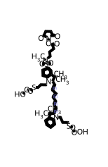 CN(CCCC(=O)ON1C(=O)CCC1=O)S(=O)(=O)c1ccc2c(c1)C(C)(C)C(/C=C/C=C/C=C/C=C1/N(CCCSOOO)c3ccccc3C1(C)C)=[N+]2CCCSOOO